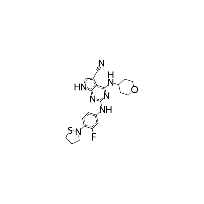 N#Cc1c[nH]c2nc(Nc3ccc(N4CCCS4)c(F)c3)nc(NC3CCOCC3)c12